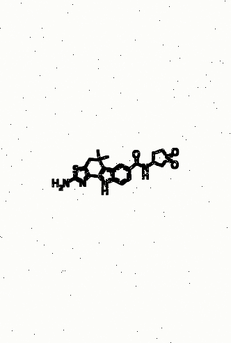 CC1(C)Cc2sc(N)nc2-c2[nH]c3ccc(C(=O)NC4CCS(=O)(=O)C4)cc3c21